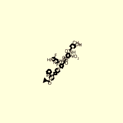 CC(C)c1ccccc1[C@@H]1CN(C(=O)C2CC2)CCN1C1CC2(CCN(c3ccc(C(=O)NS(=O)(=O)c4cc5c(c([N+](=O)[O-])c4)N[C@@H]([C@H]4CC[C@](C)(O)CC4)CO5)c(Oc4cc5c(F)c[nH]c5nc4F)c3)CC2)C1